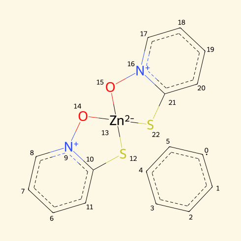 [c]1ccccc1.c1cc[n+]2c(c1)[S][Zn-2]1([O]2)[O][n+]2ccccc2[S]1